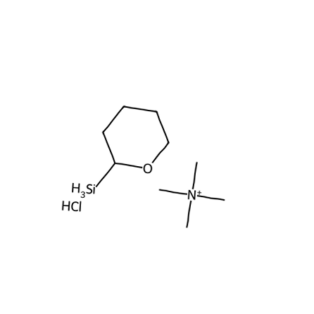 C[N+](C)(C)C.Cl.[SiH3]C1CCCCO1